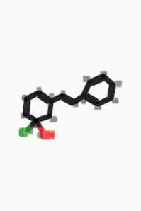 OC1(Cl)C=CC=C(C=Cc2ccccc2)C1